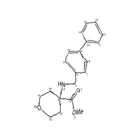 COC(=O)C1(NCc2ccc(-c3ccccc3)cc2)CCOCC1